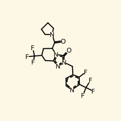 O=C(C1CC(C(F)(F)F)Cc2nn(Cc3ccnc(C(F)(F)F)c3F)c(=O)n21)N1CCCC1